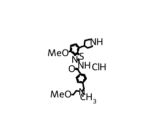 COCCN(C)Cc1ccc(C(=O)Nc2nc3c(OC)ccc(C4CCNCC4)c3s2)cc1.Cl